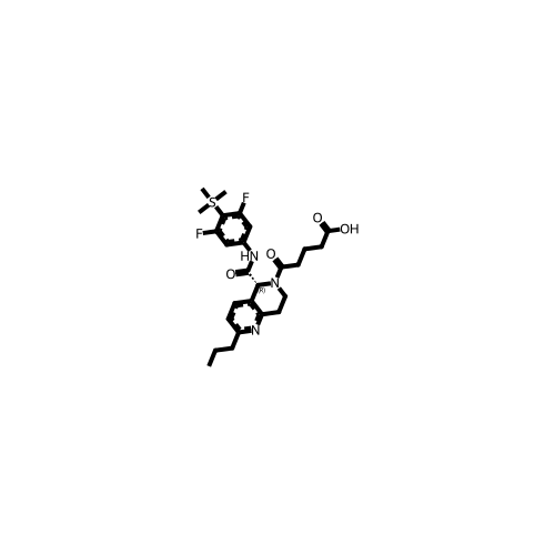 CCCc1ccc2c(n1)CCN(C(=O)CCCC(=O)O)[C@H]2C(=O)Nc1cc(F)c(S(C)(C)C)c(F)c1